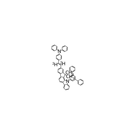 [2H]/C(=C(/[2H])c1ccc2c(c1)C(C)(C)c1c-2ccc2c3ccccc3n(-c3cc(-c4ccccc4)cc(-c4ccccc4)c3)c12)c1ccc(N(c2ccccc2)c2ccccc2)cc1